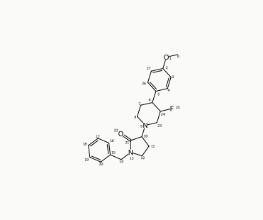 COc1ccc(C2CCN(C3CCN(Cc4ccccc4)C3=O)CC2F)cc1